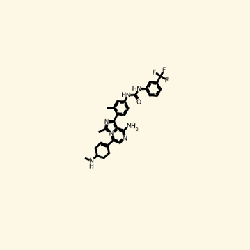 CNC1CC=C(c2cnc(N)c3c(-c4ccc(NC(=O)Nc5cccc(C(F)(F)F)c5)cc4C)nc(C)n23)CC1